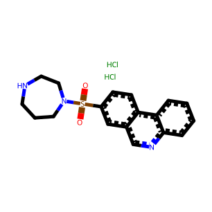 Cl.Cl.O=S(=O)(c1ccc2c(cnc3ccccc32)c1)N1CCCNCC1